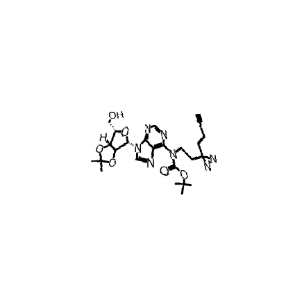 C#CCCC1(CCN(C(=O)OC(C)(C)C)c2ncnc3c2ncn3[C@H]2O[C@@H](CO)[C@H]3OC(C)(C)OC32)N=N1